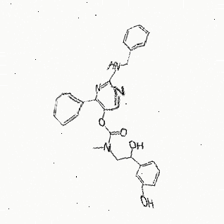 CN(CC(O)c1cccc(O)c1)C(=O)Oc1cnc(NCc2ccccc2)nc1-c1ccccc1